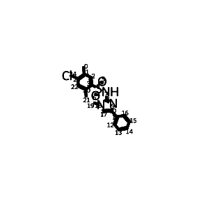 Cc1cc(S(=O)(=O)Nc2nc(-c3ccccc3)cn2C)c(C)cc1Cl